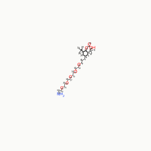 CC(C)(C)c1cc(CCCOCCOCCOCCOCCOCCN)cc(C(C)(C)C)c1OC(=O)O